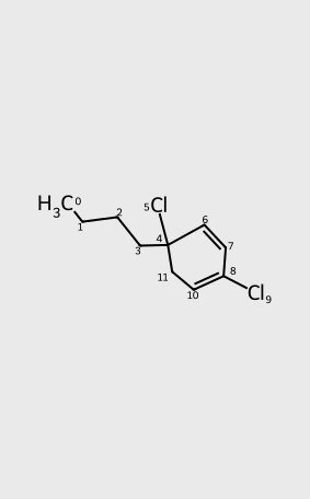 CCCCC1(Cl)C=CC(Cl)=CC1